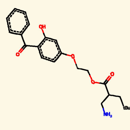 CC(C)(C)CC(CN)C(=O)OCCOc1ccc(C(=O)c2ccccc2)c(O)c1